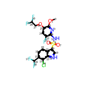 COc1nc(NS(=O)(=O)c2c[nH]c3c(Cl)c(C(F)F)ccc23)c(F)cc1OCC(F)F